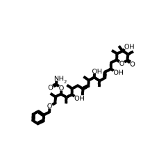 CC(=CC(C)C(O)C(C)C=CC(O)CC1OC(=O)C(C)C(C)(O)C1C)CC(C)C(O)C(C)C(OC(N)=O)C(C)COCc1ccccc1